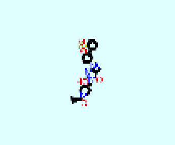 CS(=O)(=O)c1ccccc1-c1cccc(-n2ncc3c(=O)n(CC4(O)CCN(C(=O)C5CC5)CC4)cnc32)c1